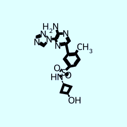 Cc1ccc(S(=O)(=O)N[C@H]2C[C@H](O)C2)cc1-c1cnc(N)c(-n2cncn2)n1